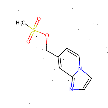 CS(=O)(=O)OCc1ccn2ccnc2c1